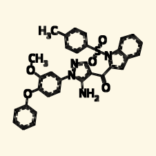 COc1cc(-n2ncc(C(=O)c3cc4ccccc4n3S(=O)(=O)c3ccc(C)cc3)c2N)ccc1Oc1ccccc1